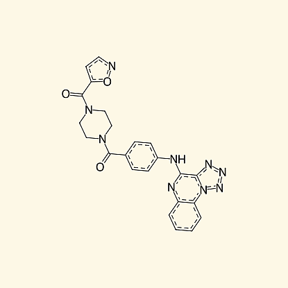 O=C(c1ccc(Nc2nc3ccccc3n3nnnc23)cc1)N1CCN(C(=O)c2ccno2)CC1